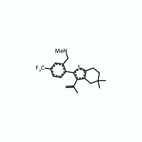 C=C(C)c1c(-c2ccc(C(F)(F)F)cc2CNC)sc2c1CC(C)(C)CC2